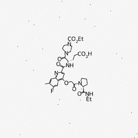 CCNC(=O)[C@@H]1CCCN1C(=O)COc1cc(C(=O)N[C@@H](CCC(=O)O)C(=O)N2CCN(C(=O)OCC)CC2)nc2cc(C)c(F)cc12